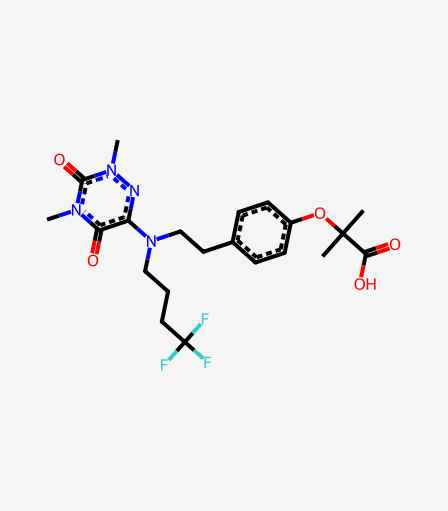 Cn1nc(N(CCCC(F)(F)F)CCc2ccc(OC(C)(C)C(=O)O)cc2)c(=O)n(C)c1=O